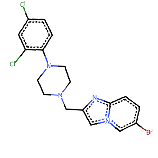 Clc1ccc(N2CCN(Cc3cn4cc(Br)ccc4n3)CC2)c(Cl)c1